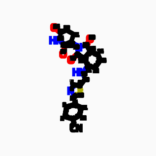 N#Cc1ccc(-c2ncc(CNc3cccc4c3C(=O)N(C3CCC(=O)NC3=O)C4=O)s2)cc1